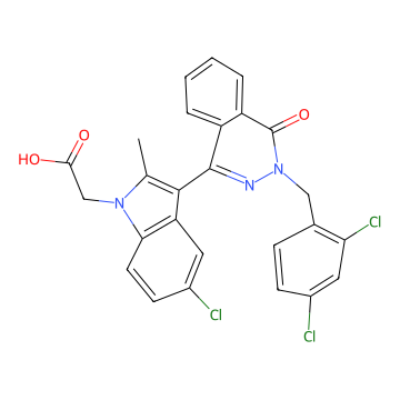 Cc1c(-c2nn(Cc3ccc(Cl)cc3Cl)c(=O)c3ccccc23)c2cc(Cl)ccc2n1CC(=O)O